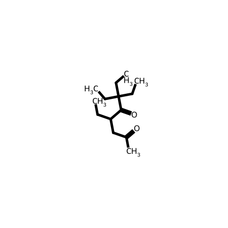 CCC(CC(C)=O)C(=O)C(CC)(CC)CC